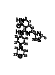 Cc1nc(-c2cc3cc[nH]c(=O)c3c(Nc3ccc(N4CCOCC4)cc3)n2)cs1